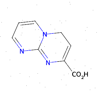 O=C(O)C1=CCN2C=CC=NC2=N1